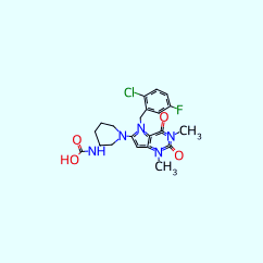 Cn1c(=O)c2c(cc(N3CCC[C@@H](NC(=O)O)C3)n2Cc2cc(F)ccc2Cl)n(C)c1=O